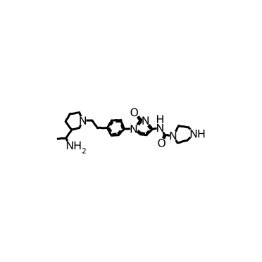 CC(N)C1CCCN(CCc2ccc(-n3ccc(NC(=O)N4CCNCC4)nc3=O)cc2)C1